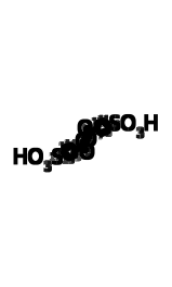 O=C(OOC(=O)c1ccc(S(=O)(=O)O)cc1)c1ccc(S(=O)(=O)O)cc1